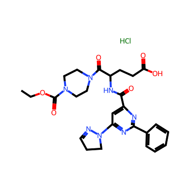 CCOC(=O)N1CCN(C(=O)C(CCC(=O)O)NC(=O)c2cc(N3CCC=N3)nc(-c3ccccc3)n2)CC1.Cl